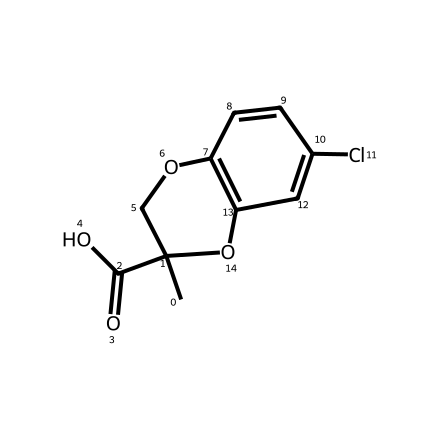 CC1(C(=O)O)COc2ccc(Cl)cc2O1